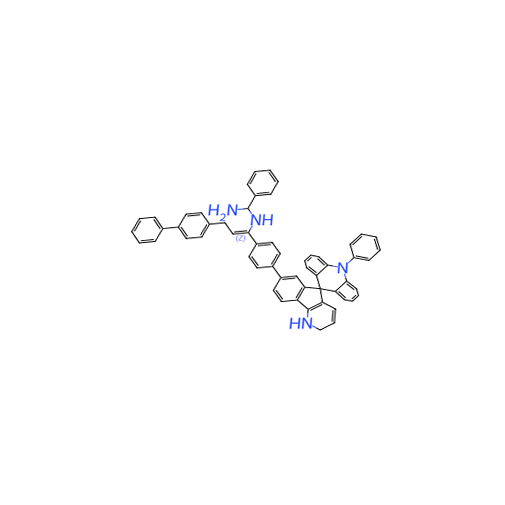 NC(N/C(=C\Cc1ccc(-c2ccccc2)cc1)c1ccc(-c2ccc3c(c2)C2(C4=C3NCC=C4)c3ccccc3N(c3ccccc3)c3ccccc32)cc1)c1ccccc1